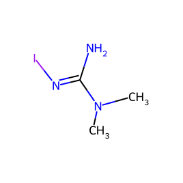 CN(C)C(N)=NI